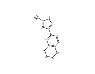 Cc1nc(-c2ccc3c(c2)CCCC3)co1